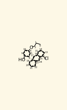 CCCOc1ccc(O)cc1.Clc1cccc2cc3ccccc3cc12